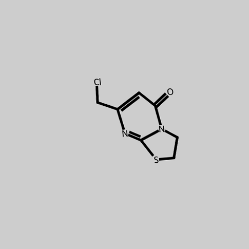 O=c1cc(CCl)nc2n1CCS2